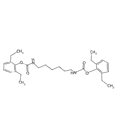 CCc1cccc(CC)c1OC(=O)NCCCCCCNC(=O)Oc1c(CC)cccc1CC